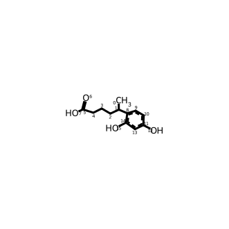 CC(CCCC(=O)O)c1ccc(O)cc1O